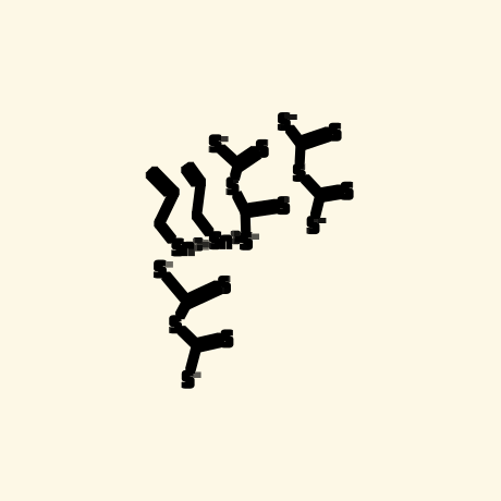 C=C[CH2][Sn+3].C=C[CH2][Sn+3].S=C([S-])SC(=S)[S-].S=C([S-])SC(=S)[S-].S=C([S-])SC(=S)[S-]